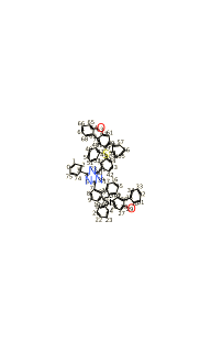 c1ccc(-c2nc(-c3cccc([Si](c4ccccc4)(c4ccccc4)c4ccc5oc6ccccc6c5c4)c3)nc(-c3cccc(S(c4ccccc4)(c4ccccc4)c4ccc5oc6ccccc6c5c4)c3)n2)cc1